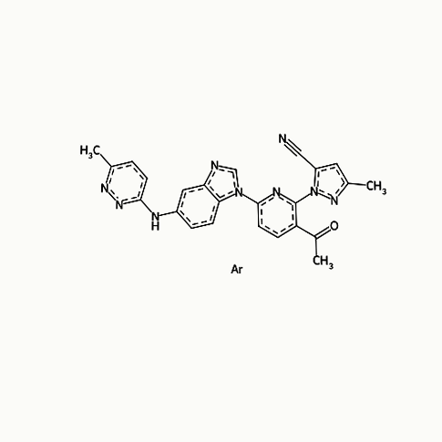 CC(=O)c1ccc(-n2cnc3cc(Nc4ccc(C)nn4)ccc32)nc1-n1nc(C)cc1C#N.[Ar]